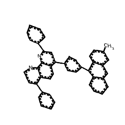 Cc1ccc2c(-c3ccc(-c4cc(-c5ccccc5)nc5c4ccc4c(-c6ccccc6)ccnc45)cc3)c3ccccc3cc2c1